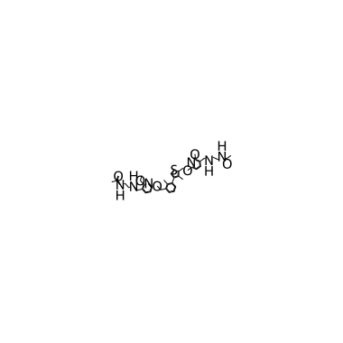 COc1nc(OCc2cccc(-c3csc(COc4ccc(CNCCNC(C)=O)c(OC)n4)c3C)c2C)ccc1CNCCNC(C)=O